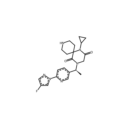 C[C@@H](c1ccc(-n2cc(F)cn2)nc1)N1CC(=O)N(C2CC2)C2(CCNCC2)C1=O